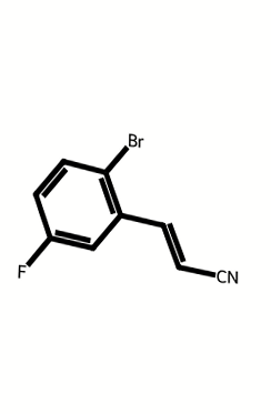 N#CC=Cc1cc(F)ccc1Br